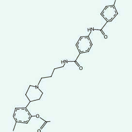 CC(=O)Oc1cc(C)ccc1C1CCN(CCCCNC(=O)c2ccc(NC(=O)c3ccc(Cl)cc3)cc2)CC1